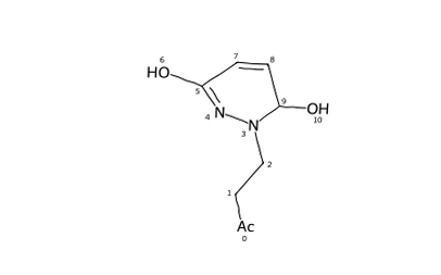 CC(=O)CCN1N=C(O)C=CC1O